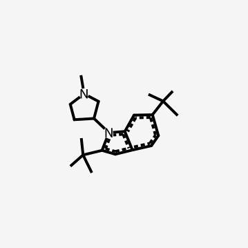 CN1CCC(n2c(C(C)(C)C)cc3ccc(C(C)(C)C)cc32)C1